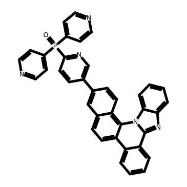 O=P(c1ccncc1)(c1ccncc1)c1ccc(-c2ccc3c(ccc4c5ccccc5c5nc6ccccc6n5c34)c2)cn1